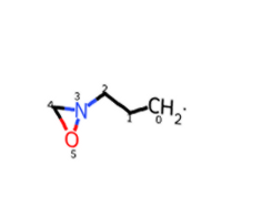 [CH2]CCN1CO1